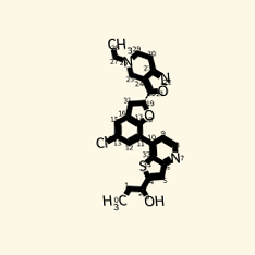 CCC(O)c1cc2nccc(-c3cc(Cl)cc4c3O[C@@H](c3onc5c3CN(CC)CC5)C4)c2s1